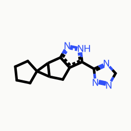 C1CCC2(C1)C1Cc3c(n[nH]c3C3=NCN=N3)C12